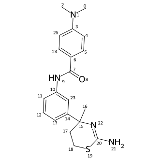 CN(C)c1ccc(C(=O)Nc2cccc(C3(C)CCSC(N)=N3)c2)cc1